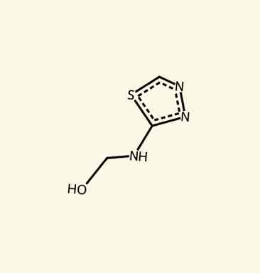 OCNc1nncs1